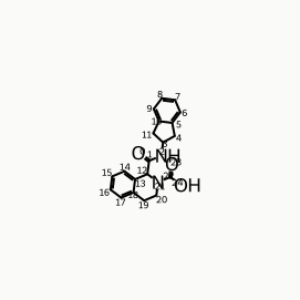 O=C(NC1Cc2ccccc2C1)C1c2ccccc2CCN1C(=O)O